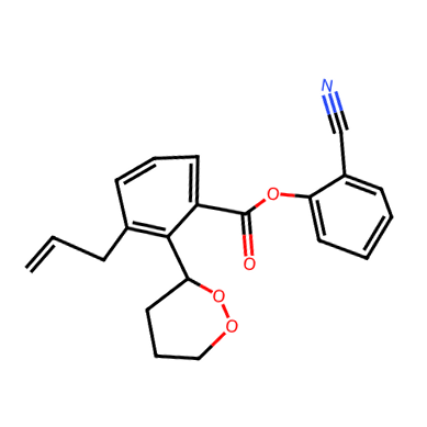 C=CCc1cccc(C(=O)Oc2ccccc2C#N)c1C1CCCOO1